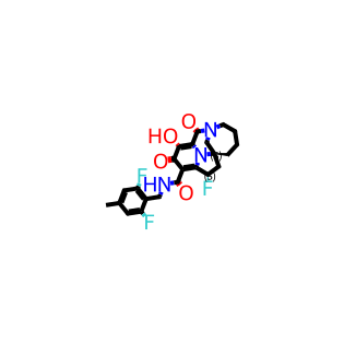 Cc1cc(F)c(CNC(=O)c2c3n4c(c(O)c2=O)C(=O)N2CCCC[C@]4(C[C@@H]3F)C2)c(F)c1